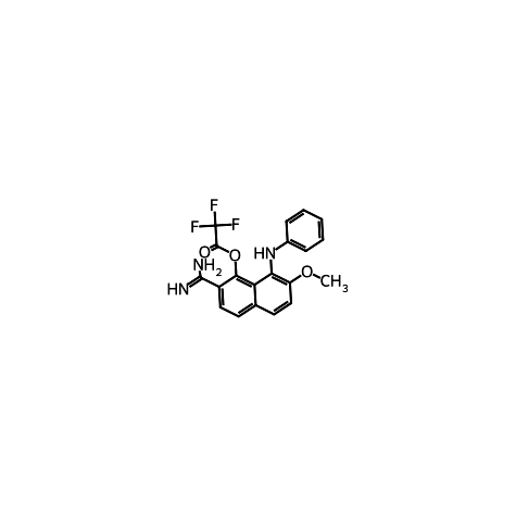 COc1ccc2ccc(C(=N)N)c(OC(=O)C(F)(F)F)c2c1Nc1ccccc1